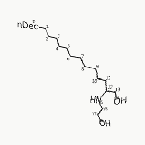 CCCCCCCCCCCCCCCCCCCCCC(CO)NCCO